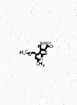 COCc1cc(C)nc2sc3c(=O)[nH]nnc3c12